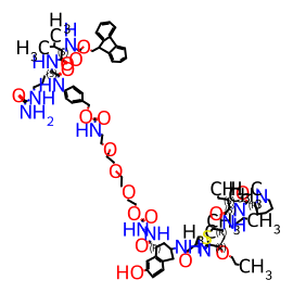 CCCO[C@H](C[C@H](C(C)C)N(CCC)C(=O)[C@@H](NC(=O)[C@H]1CCCCN1C)[C@@H](C)CC)c1nc(C(=O)NC2Cc3ccc(O)cc3[C@H](C(=O)NNC(=O)OCCOCCOCCOCCNC(=O)OCc3ccc(NC(=O)[C@H](CCCNC(N)=O)NC(=O)[C@@H](NC(=O)OCC4c5ccccc5-c5ccccc54)C(C)C)cc3)C2)cs1